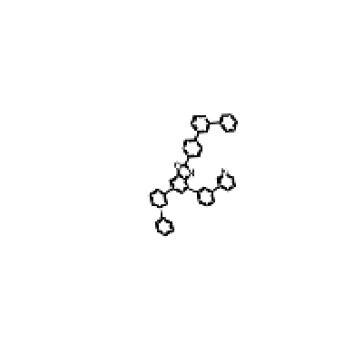 c1ccc(-c2cccc(-c3ccc(-c4nc5c(-c6cccc(-c7cccnc7)c6)cc(-c6cccc(-c7ccccc7)c6)cc5o4)cc3)c2)cc1